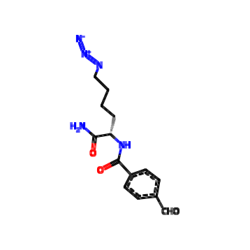 [N-]=[N+]=NCCCC[C@H](NC(=O)c1ccc(C=O)cc1)C(N)=O